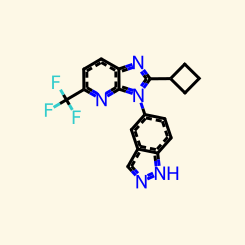 FC(F)(F)c1ccc2nc(C3CCC3)n(-c3ccc4[nH]ncc4c3)c2n1